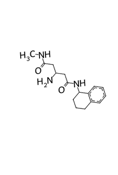 CNC(=O)CC(N)CC(=O)NC1CCCc2ccccc21